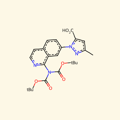 Cc1cc(C(=O)O)n(-c2ccc3ccnc(N(C(=O)OC(C)(C)C)C(=O)OC(C)(C)C)c3c2)n1